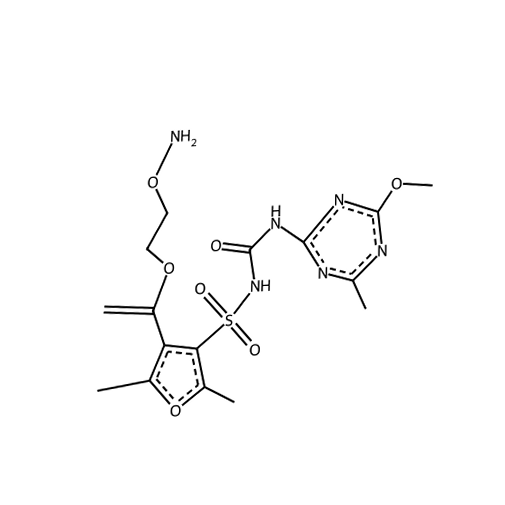 C=C(OCCON)c1c(C)oc(C)c1S(=O)(=O)NC(=O)Nc1nc(C)nc(OC)n1